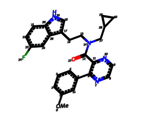 COc1cccc(-c2nccnc2C(=O)N(CCc2c[nH]c3ccc(F)cc23)CC2CC2)c1